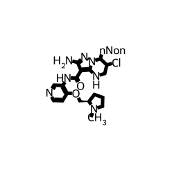 CCCCCCCCCC1C(Cl)CNc2c(C(=O)Nc3cnccc3OC[C@H]3CCCN3C)c(N)nn21